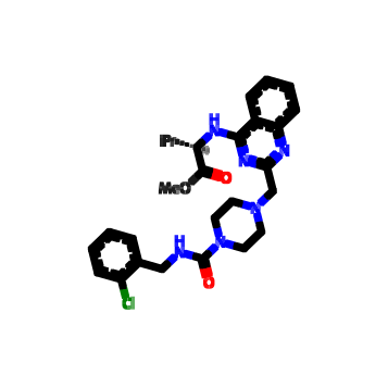 COC(=O)[C@@H](Nc1nc(CN2CCN(C(=O)NCc3ccccc3Cl)CC2)nc2ccccc12)C(C)C